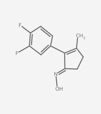 CC1=C(c2ccc(F)c(F)c2)C(=NO)CC1